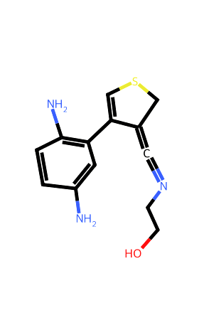 Nc1ccc(N)c(C2=CSCC2=C=NCCO)c1